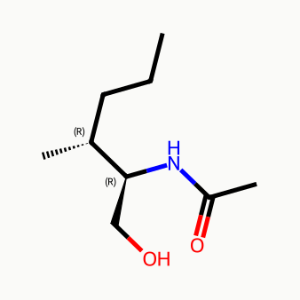 CCC[C@@H](C)[C@H](CO)NC(C)=O